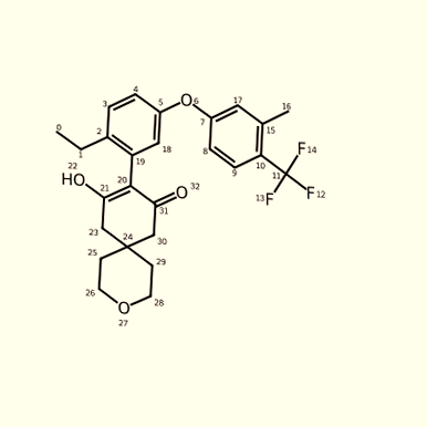 CCc1ccc(Oc2ccc(C(F)(F)F)c(C)c2)cc1C1=C(O)CC2(CCOCC2)CC1=O